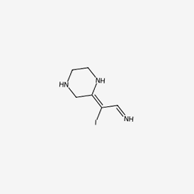 N=C/C(I)=C1/CNCCN1